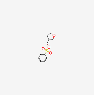 O=S(=O)(OCC1CCOC1)c1ccccc1